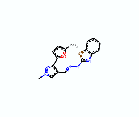 Cn1cc(/C=N/Nc2nc3ccccc3s2)c(-c2ccc([N+](=O)[O-])o2)n1